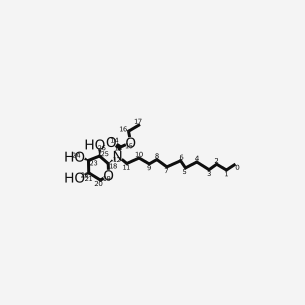 CCCCCCCCCCCCN(C(=O)OCC)[C@@H]1OC[C@@H](O)[C@@H](O)[C@H]1O